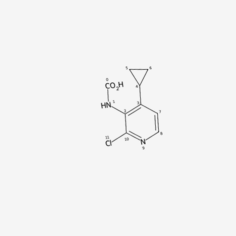 O=C(O)Nc1c(C2CC2)ccnc1Cl